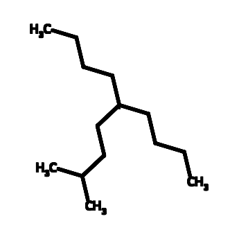 CCCC[C](CCCC)CCC(C)C